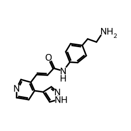 NCCc1ccc(NC(=O)/C=C/c2cnccc2-c2cn[nH]c2)cc1